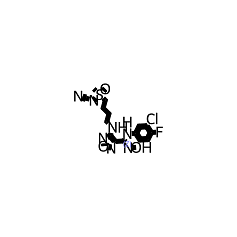 CS(=O)(CCCCNc1nonc1/C(=N/O)Nc1ccc(F)c(Cl)c1)=NC#N